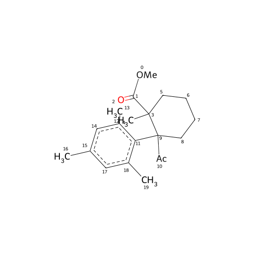 COC(=O)C1(C)CCCCC1(C(C)=O)c1c(C)cc(C)cc1C